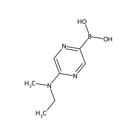 CCN(C)c1cnc(B(O)O)cn1